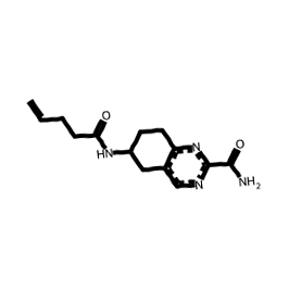 C=CCCC(=O)NC1CCc2nc(C(N)=O)ncc2C1